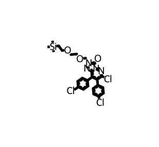 C[Si](C)(C)CCOCCOCn1nc2c(-c3ccc(Cl)cc3)c(-c3ccc(Cl)cc3)c(Cl)nn2c1=O